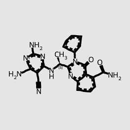 C[C@H](Nc1nc(N)nc(N)c1C#N)c1nc2cccc(C(N)=O)c2c(=O)n1-c1ccccc1